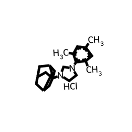 Cc1cc(C)c(N2CCN(C34CC5CC(CC(C5)C3)C4)C2)c(C)c1.Cl